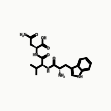 CC(C)[C@H](NC(=O)[C@@H](N)Cc1c[nH]c2ccccc12)C(=O)N[C@@H](CC(N)=O)C(=O)O